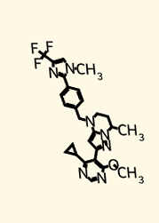 COc1ncnc(C2CC2)c1-c1cc2n(n1)C(C)CCN2Cc1ccc(-c2nc(C(F)(F)F)cn2C)cc1